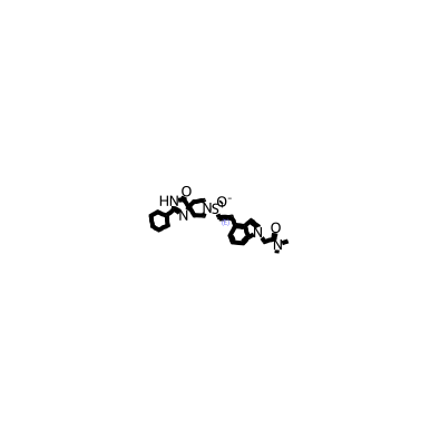 CN(C)C(=O)Cn1ccc2c(/C=C/[S+]([O-])N3CCC4(CC3)N=C(C3CCCCC3)NC4=O)cccc21